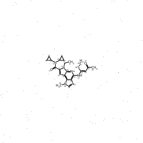 CCn1c(C(=O)N(C2CC2)C2CC2)cc2c3c(ncn3C)c(NC(=CC(C)=O)SC)nc21